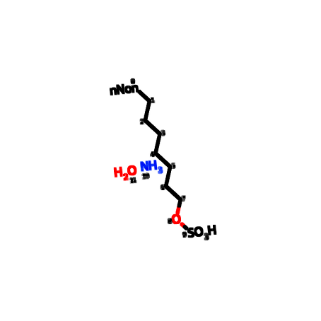 CCCCCCCCCCCCCCCCOS(=O)(=O)O.N.O